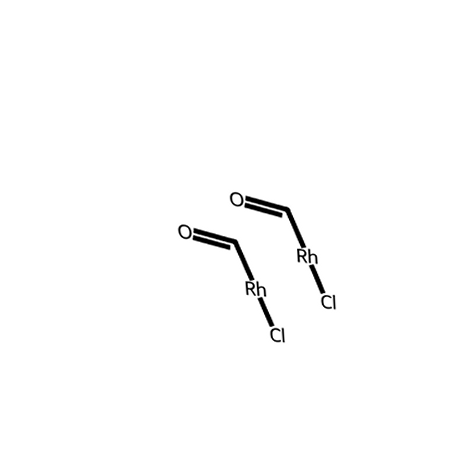 O=[CH][Rh][Cl].O=[CH][Rh][Cl]